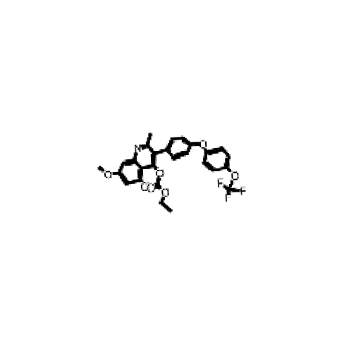 CCOC(=O)Oc1c(-c2ccc(Oc3ccc(OC(F)(F)F)cc3)cc2)c(C)nc2cc(OC)cc(Cl)c12